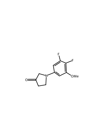 COc1cc(N2CCC(=O)C2)cc(F)c1F